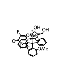 COc1ccccc1C(c1ccccc1)(c1ccccc1OC)[C@]1(n2cc(F)c(=O)[nH]c2=O)C[C@H](O)[C@@H](CO)O1